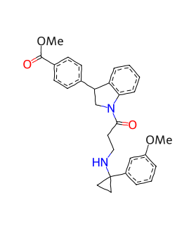 COC(=O)c1ccc(C2CN(C(=O)CCNC3(c4cccc(OC)c4)CC3)c3ccccc32)cc1